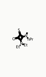 CCCN(C)c1c(N(CC)CC)c(=O)c1=S